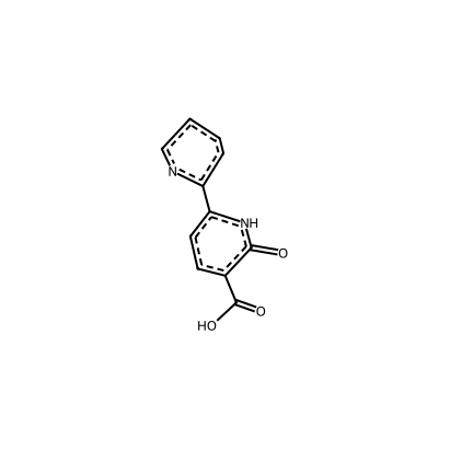 O=C(O)c1ccc(-c2ccccn2)[nH]c1=O